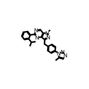 Cc1cnnn1-c1ccc(Cc2nn(C)c3cnc(-c4ccccc4C(C)C)nc23)cc1